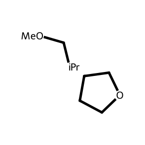 C1CCOC1.COCC(C)C